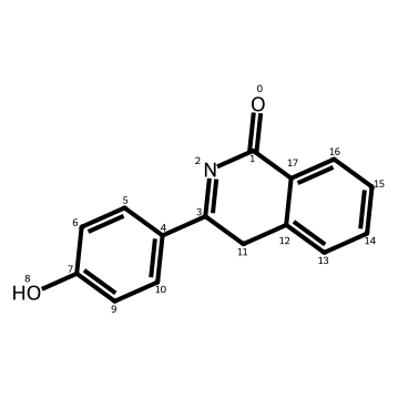 O=C1N=C(c2ccc(O)cc2)Cc2ccccc21